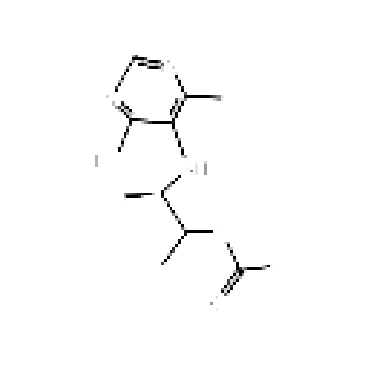 CC(=O)OC(C)[C@@H](C)Nc1c(C)ncnc1O